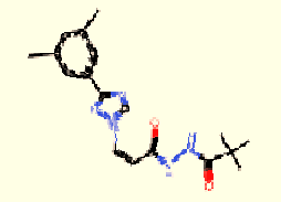 Cc1cc(C)cc(-c2ncn(/C=C\C(=O)NNC(=O)C(C)(C)C)n2)c1